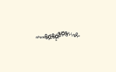 C=CC(=O)OCCCCCC(=O)Oc1ccc(C(=O)Oc2ccc(OC(=O)c3ccc(OC(=O)CCCCC)cc3)c(C)c2)cc1